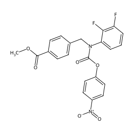 COC(=O)c1ccc(CN(C(=O)Oc2ccc([N+](=O)[O-])cc2)c2cccc(F)c2F)cc1